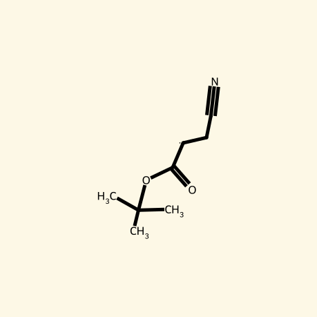 CC(C)(C)OC(=O)[CH]CC#N